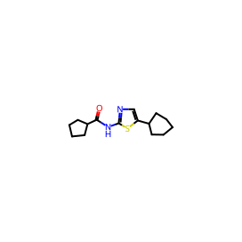 O=C(Nc1ncc(C2CCCCC2)s1)C1CCCC1